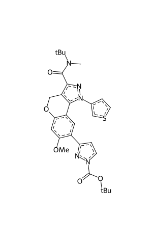 COc1cc2c(cc1-c1ccn(C(=O)OC(C)(C)C)n1)-c1c(c(C(=O)N(C)C(C)(C)C)nn1-c1ccsc1)CO2